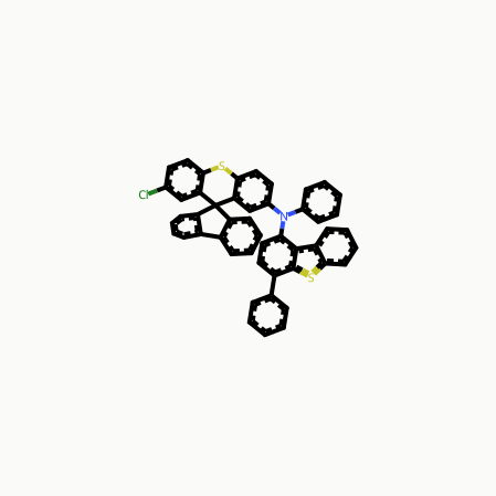 Clc1ccc2c(c1)C1(c3cc(N(c4ccccc4)c4ccc(-c5ccccc5)c5sc6ccccc6c45)ccc3S2)c2ccccc2-c2ccccc21